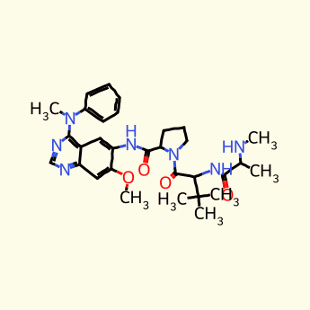 CNC(C)C(=O)NC(C(=O)N1CCCC1C(=O)Nc1cc2c(N(C)c3ccccc3)ncnc2cc1OC)C(C)(C)C